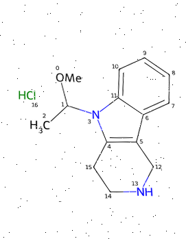 COC(C)n1c2c(c3ccccc31)CNCC2.Cl